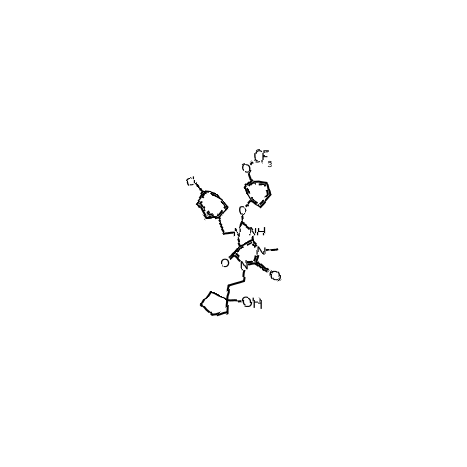 Cn1c2c(c(=O)n(CCC3(O)CCCC3)c1=O)N(Cc1ccc(Cl)cc1)C(Oc1cccc(OC(F)(F)F)c1)N2